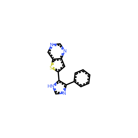 c1ccc(-c2nc[nH]c2-c2cc3ncncc3s2)cc1